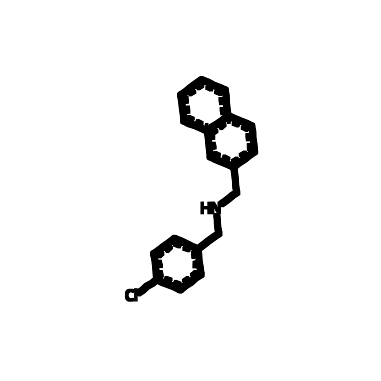 Clc1ccc(CNCc2ccc3ccccc3c2)cc1